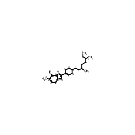 CCC(C)CCC(C)CCC1CC=C(c2cc3ccc(C)c(F)c3s2)CC1